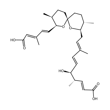 CC(/C=C/[C@H](O)[C@@H](C)/C=C/C(=O)O)=C\C[C@H]1O[C@@]2(CC[C@H](C)[C@H](/C=C/C(C)=C/C(=O)O)O2)CC[C@@H]1C